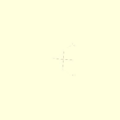 CC(C)(CO)ON.Cl